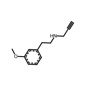 C#CCNCCc1cccc(OC)c1